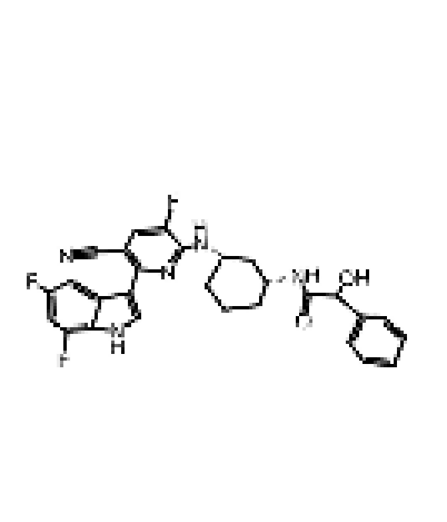 N#Cc1cc(F)c(N[C@H]2CCC[C@@H](NC(=O)[C@@H](O)c3ccccc3)C2)nc1-c1c[nH]c2c(F)cc(F)cc12